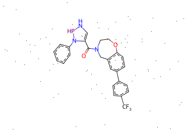 O=C(C1=CNPN1c1ccccc1)N1CCOc2ccc(-c3ccc(C(F)(F)F)cc3)cc2C1